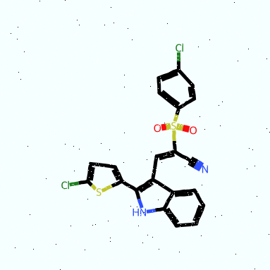 N#CC(=Cc1c(-c2ccc(Cl)s2)[nH]c2ccccc12)S(=O)(=O)c1ccc(Cl)cc1